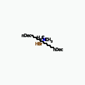 Br.CCCCCCCCCCCCCCCCC(CCCCCCCCCCCCCCCC)N(C)C